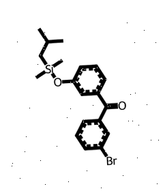 CC(C)C[Si](C)(C)Oc1cccc(C(=O)c2cccc(Br)c2)c1